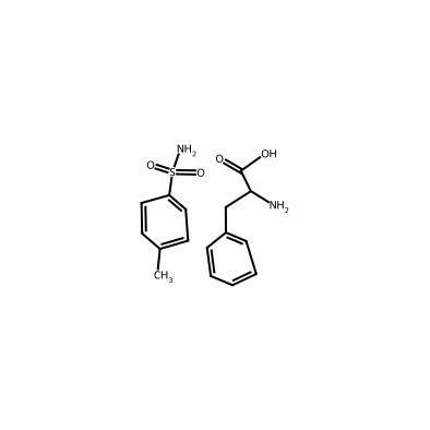 Cc1ccc(S(N)(=O)=O)cc1.NC(Cc1ccccc1)C(=O)O